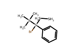 C[Si](C)(C)[Si](Br)([SiH2][SiH3])c1ccccc1